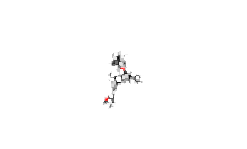 COc1cc2c(N3CCN(C(=O)O)C(C(C)(C)C)C3)nc(N3CCCC3)nc2cc1OCCCN1CCOCC1